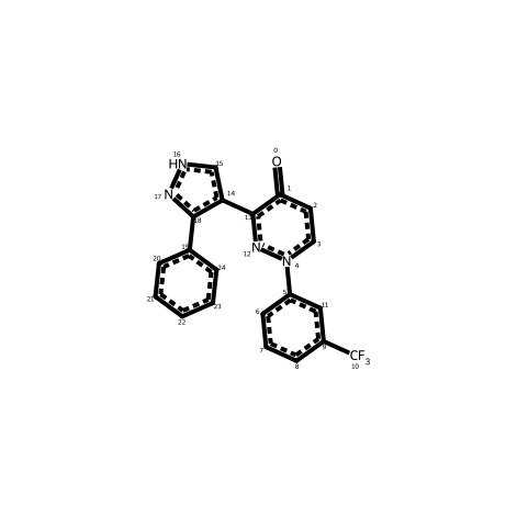 O=c1ccn(-c2cccc(C(F)(F)F)c2)nc1-c1c[nH]nc1-c1ccccc1